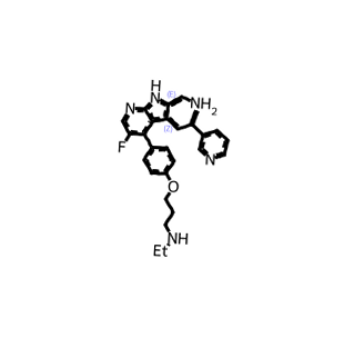 C=C(/C=c1\c(=C/N)[nH]c2ncc(F)c(-c3ccc(OCCCNCC)cc3)c12)c1cccnc1